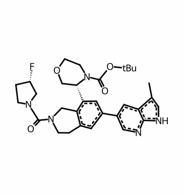 Cc1c[nH]c2ncc(-c3cc4c(c([C@@H]5COCCN5C(=O)OC(C)(C)C)c3)CN(C(=O)N3CC[C@H](F)C3)CC4)cc12